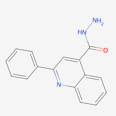 NNC(=O)c1cc(-c2ccccc2)nc2ccccc12